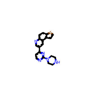 c1cc(-c2cnc3ccc4sccc4c3c2)nc(N2CCNCC2)n1